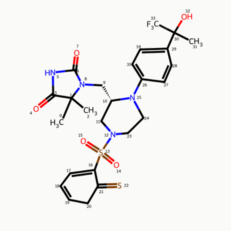 CC1(C)C(=O)NC(=O)N1C[C@H]1CN(S(=O)(=O)C2=CC=CCC2=S)CCN1c1ccc(C(C)(O)C(F)(F)F)cc1